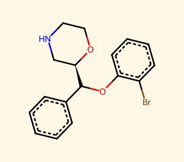 Brc1ccccc1OC(c1ccccc1)[C@H]1CNCCO1